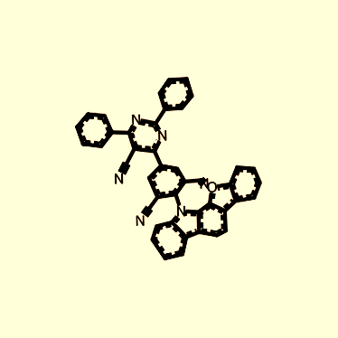 N#Cc1cc(-c2nc(-c3ccccc3)nc(-c3ccccc3)c2C#N)cc(C#N)c1-n1c2ccccc2c2ccc3c4ccccc4oc3c21